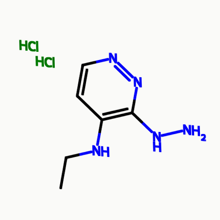 CCNc1ccnnc1NN.Cl.Cl